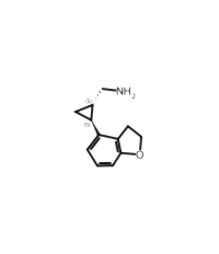 NC[C@H]1C[C@@H]1c1cccc2c1CCO2